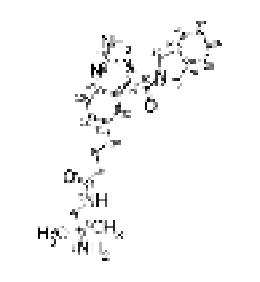 CC(C)(N)CNC(=O)CCCc1ccc2nc(N)nc(C(=O)N3Cc4ccccc4C3)c2c1